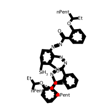 CCCCCC(CC)Oc1ccccc1C(=O)N=Nc1ccc([SiH3])c(N=NC(=O)c2ccccc2OC(CC)CCCCC)c1N=NC(=O)c1ccccc1OC(CC)CCCCC